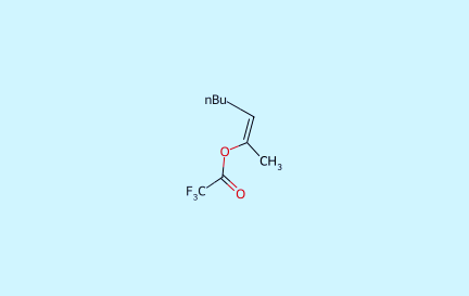 CCCCC=C(C)OC(=O)C(F)(F)F